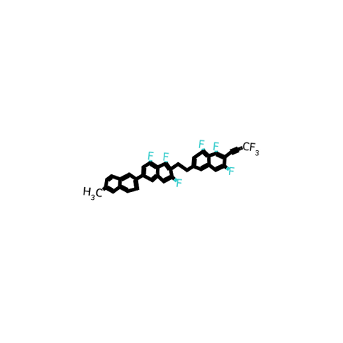 Cc1ccc2cc(-c3cc(F)c4c(F)c(CCc5cc(F)c6c(F)c(C#CC(F)(F)F)c(F)cc6c5)c(F)cc4c3)ccc2c1